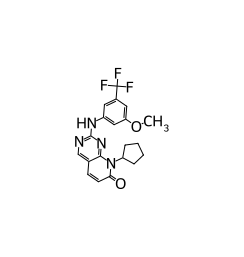 COc1cc(Nc2ncc3ccc(=O)n(C4CCCC4)c3n2)cc(C(F)(F)F)c1